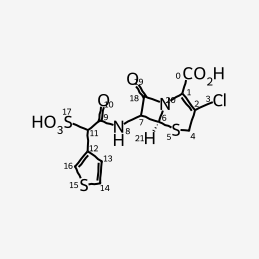 O=C(O)C1=C(Cl)CS[C@H]2C(NC(=O)C(c3ccsc3)S(=O)(=O)O)C(=O)N12